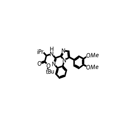 COc1ccc(-c2cnc3c(NC(C(=O)OC(C)(C)C)C(C)C)nc4ccccc4n23)cc1OC